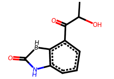 CC(O)C(=O)c1cccc2c1BC(=O)N2